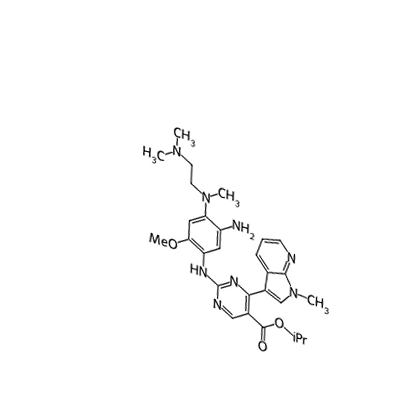 COc1cc(N(C)CCN(C)C)c(N)cc1Nc1ncc(C(=O)OC(C)C)c(-c2cn(C)c3ncccc23)n1